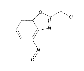 O=Nc1cccc2oc(CCl)nc12